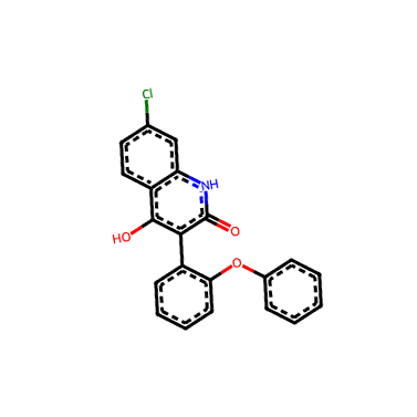 O=c1[nH]c2cc(Cl)ccc2c(O)c1-c1ccccc1Oc1ccccc1